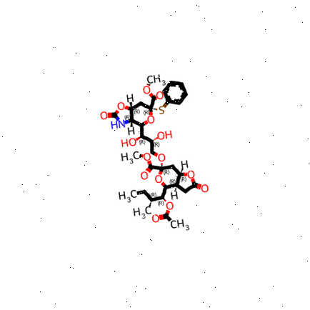 CC[C@@H](C)[C@@H](OC(C)=O)C1O[C@@](OC[C@@H](O)[C@@H](O)C2O[C@](Sc3ccccc3)(C(=O)OC)C[C@H]3OC(=O)N[C@@H]23)(C(=O)OC)C[C@H]2OC(=O)C[C@@H]12